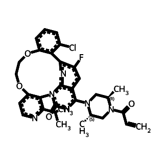 C=CC(=O)N1C[C@H](C)N(c2nc(=O)n3c4nc(c(F)cc24)-c2c(Cl)cccc2OCCOc2ccnc(C(C)C)c2-3)C[C@H]1C